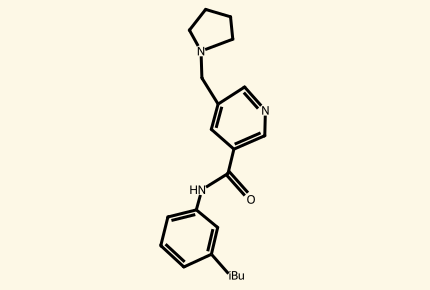 CCC(C)c1cccc(NC(=O)c2cncc(CN3CCCC3)c2)c1